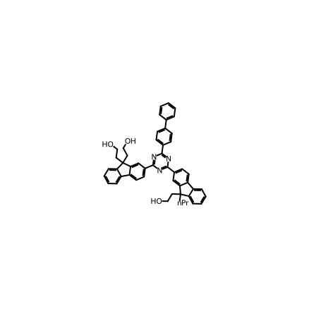 CCCC1(CCO)c2ccccc2-c2ccc(-c3nc(-c4ccc(-c5ccccc5)cc4)nc(-c4ccc5c(c4)C(CCO)(CCO)c4ccccc4-5)n3)cc21